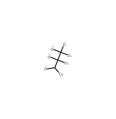 Cl[CH]([Cu])C(Cl)(Cl)C(Cl)(Cl)Cl